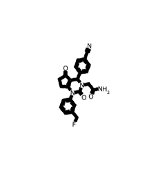 N#Cc1ccc(C2C3=C(CCC3=O)N(c3cccc(CF)c3)C(=O)N2CC(N)=O)cc1